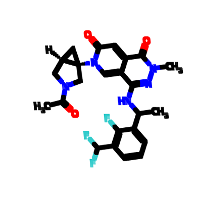 CC(=O)N1C[C@H]2C[C@@]2(n2cc3c(NC(C)c4cccc(C(F)F)c4F)nn(C)c(=O)c3cc2=O)C1